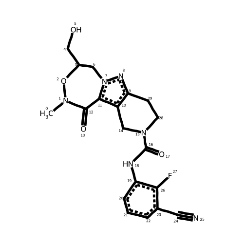 CN1OC(CO)Cn2nc3c(c2C1=O)CN(C(=O)Nc1cccc(C#N)c1F)CC3